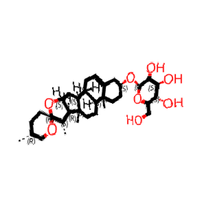 C[C@@H]1CC[C@@]2(OC1)O[C@H]1C[C@H]3[C@@H]4CC=C5C[C@@H](O[C@@H]6OC(CO)[C@@H](O)[C@H](O)C6O)CC[C@]5(C)[C@H]4CC[C@]3(C)[C@H]1[C@@H]2C